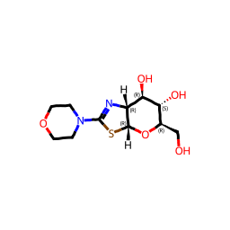 OC[C@H]1O[C@@H]2SC(N3CCOCC3)=N[C@@H]2[C@@H](O)[C@@H]1O